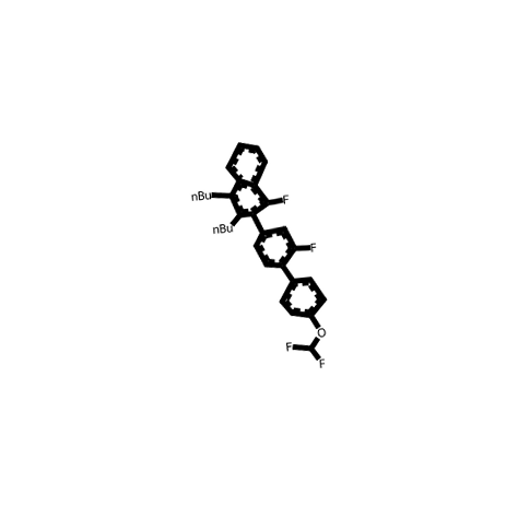 CCCCc1c(-c2ccc(-c3ccc(OC(F)F)cc3)c(F)c2)c(F)c2ccccc2c1CCCC